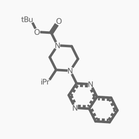 CC(C)C1CN(C(=O)OC(C)(C)C)CCN1c1cnc2ccccc2n1